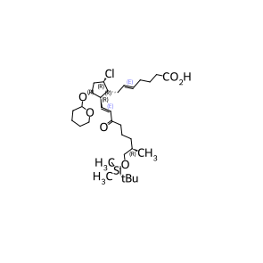 C[C@H](CCCC(=O)/C=C/[C@@H]1[C@@H](C/C=C/CCCC(=O)O)[C@H](Cl)C[C@H]1OC1CCCCO1)CO[Si](C)(C)C(C)(C)C